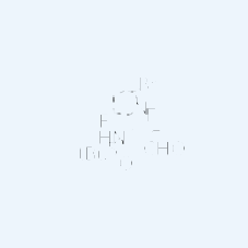 CC(C)(C)[S+]([O-])NC(CC=O)(c1nc(Br)ccc1F)C(F)F